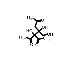 CC(=O)CC(O)(CO)C(O)(C(C)=O)C(C)=O